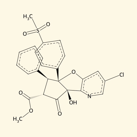 COC(=O)[C@H]1C(=O)[C@@]2(O)c3ncc(Cl)cc3O[C@@]2(c2ccc(S(C)(=O)=O)cc2)[C@@H]1c1ccccc1